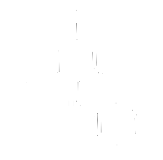 O=C(O)c1cc(Cl)cnc1Nc1cccnc1